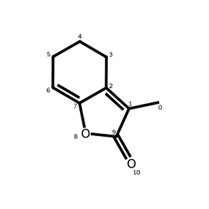 CC1=C2CCCC=C2OC1=O